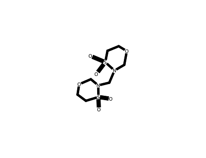 O=S1(=O)CCOCN1CN1COCCS1(=O)=O